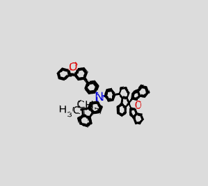 CC1(C)c2ccccc2-c2ccc(N(c3ccc(-c4ccc5oc6ccccc6c5c4)cc3)c3ccc(C4CC=CC5=C4c4ccccc4C54c5ccc6ccccc6c5Oc5c4ccc4ccccc54)cc3)cc21